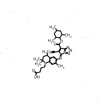 Cc1cc2c(cc1/N=C1\C(C#N)=C(C(=O)OC3C(C)CC(C)CC3C)c3nnnn31)C(C)CC(C)(C)N2CCCC(=O)O